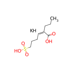 CCCC(=CCCCS(=O)(=O)O)C(=O)O.[KH]